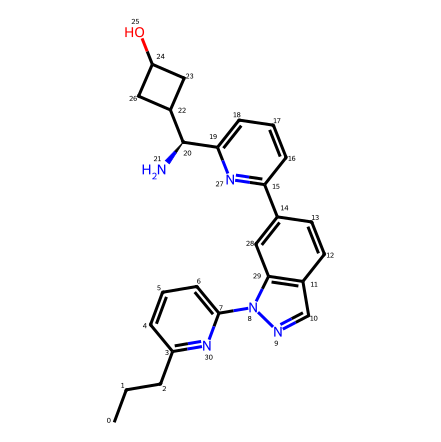 CCCc1cccc(-n2ncc3ccc(-c4cccc([C@@H](N)C5CC(O)C5)n4)cc32)n1